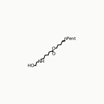 CCCCC/C=C/CCCOC(=O)CCCCCNCCO